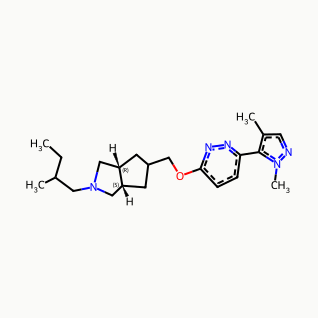 CCC(C)CN1C[C@H]2CC(COc3ccc(-c4c(C)cnn4C)nn3)C[C@H]2C1